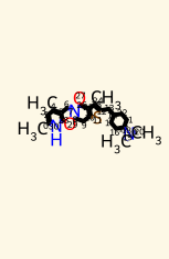 Cc1cc(C)c(CN2CCc3sc(CC4CCC(N(C)C)CC4)c(C)c3C2=O)c(=O)[nH]1